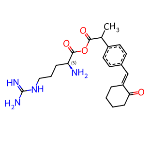 CC(C(=O)OC(=O)[C@@H](N)CCCNC(=N)N)c1ccc(C=C2CCCCC2=O)cc1